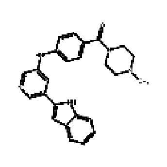 CN1CCN(C(=O)c2ccc(Nc3cncc(-c4cc5ccccc5[nH]4)c3)cc2)CC1